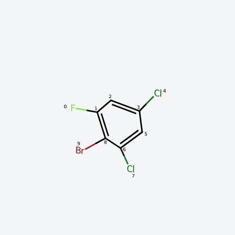 Fc1cc(Cl)cc(Cl)c1Br